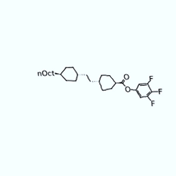 CCCCCCCC[C@H]1CC[C@H](CC[C@H]2CC[C@H](C(=O)Oc3cc(F)c(F)c(F)c3)CC2)CC1